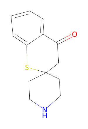 O=C1CC2(CCNCC2)Sc2ccccc21